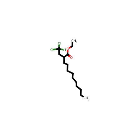 CCCCCCCCCCC(CC(Cl)(Cl)Cl)C(=O)OCC